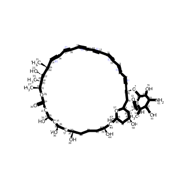 CC1OC(O[C@H]2/C=C/C=C/C=C/C=C/C=C/C=C/C=C/[C@H](C)[C@@H](O)[C@@H](C)[C@H](C)OC(=O)C[C@H](O)C[C@H](O)C[C@H](O)CCC[C@H](O)C[C@]3(O)C[C@H](O)[C@@H](C(=O)O)C(C2)O3)C(O)C(N)C1O